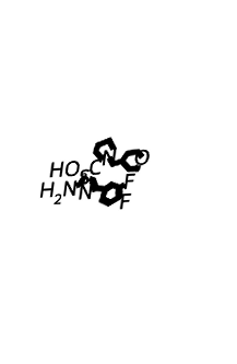 Nc1nc(-c2ccc(F)c(F)c2)cs1.O=C(O)[C@@H]1CCCCN1CC1CCOCC1